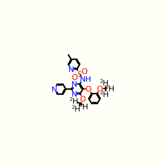 [2H]C([2H])([2H])Oc1ccccc1Oc1c(NS(=O)(=O)c2ccc(C)cn2)nc(-c2ccncc2)nc1OC([2H])([2H])[2H]